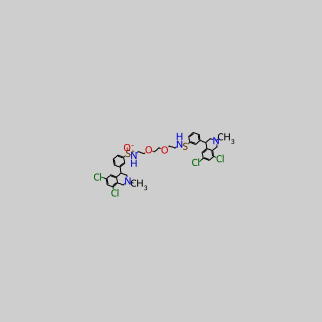 CN1Cc2c(Cl)cc(Cl)cc2C(c2cccc(SNCCOCCOCCN[S+]([O-])c3cccc(C4CN(C)Cc5c(Cl)cc(Cl)cc54)c3)c2)C1